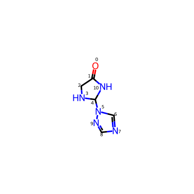 O=C1CNC(n2cncn2)N1